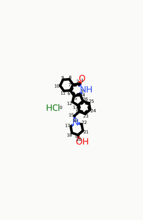 Cl.O=c1[nH]c2c(c3c1CCCC3)Cc1c(CN3CCC(O)CC3)cccc1-2